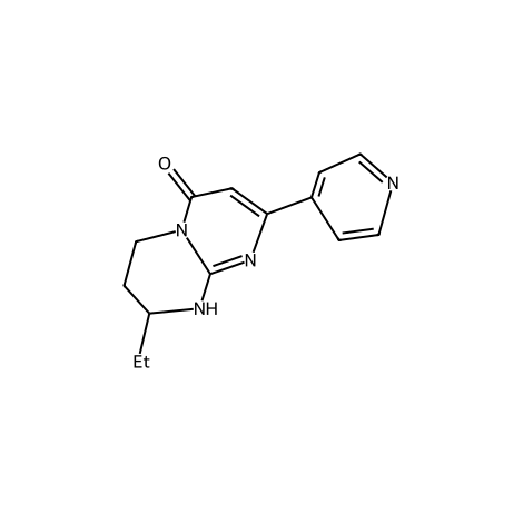 CCC1CCn2c(nc(-c3ccncc3)cc2=O)N1